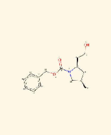 C[C@@H]1C[C@H](CCO)N(C(=O)OCc2ccccc2)C1